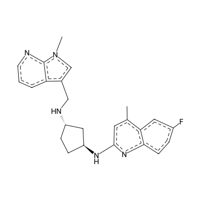 Cc1cc(N[C@H]2CC[C@H](NCc3cn(C)c4ncccc34)C2)nc2ccc(F)cc12